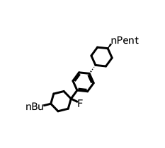 CCCCC[C@H]1CC[C@H](c2ccc(C3(F)CCC(CCCC)CC3)cc2)CC1